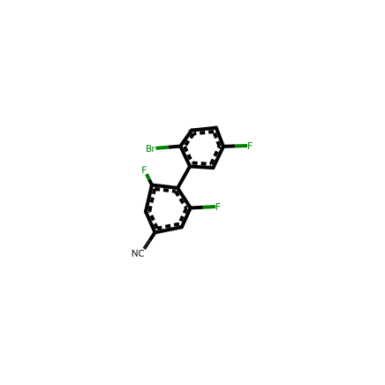 N#Cc1cc(F)c(-c2cc(F)c[c]c2Br)c(F)c1